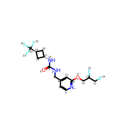 O=C(NCc1ccnc(OCC(F)CF)c1)N[C@H]1C[C@H](C(F)(F)F)C1